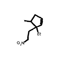 CCC1(CC[N+](=O)[O-])C=CCC1C